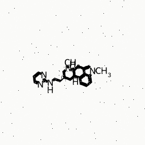 CN1C[C@H](CCNc2ncccn2)C[C@@H]2c3cccc4c3c(cn4C)C[C@H]21